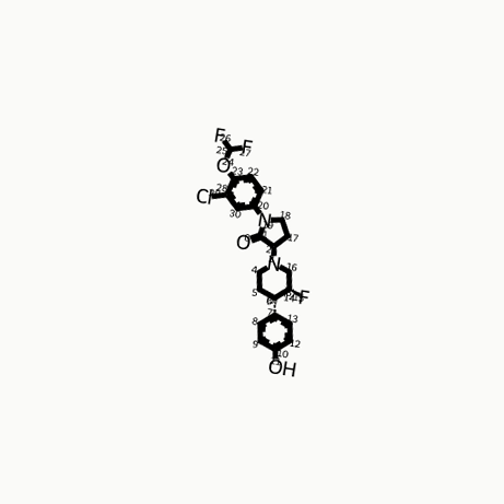 O=C1C(N2CC[C@@H](c3ccc(O)cc3)[C@H](F)C2)CCN1c1ccc(OC(F)F)c(Cl)c1